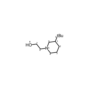 CC(C)(C)C1CCCN(CCO)C1